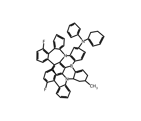 CC1CC=C2B3c4ccc(N(C5=CC=CCC5)c5ccccc5)cc4N4c5ccccc5-c5c(F)cccc5-c5ccc(c3c54)N(c3ccccc3-c3ccccc3F)C2C1